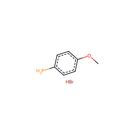 Br.COc1ccc(P)cc1